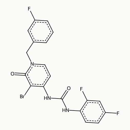 O=C(Nc1ccc(F)cc1F)Nc1ccn(Cc2cccc(F)c2)c(=O)c1Br